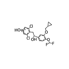 OC(Cc1c(Cl)c[n+](O)cc1Cl)c1ccc(OC(F)F)c(OCC2CC2)c1